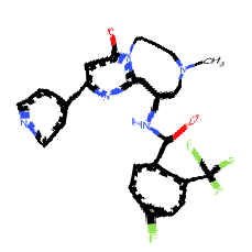 CN1CCn2c(nc(-c3ccncc3)cc2=O)C(NC(=O)c2ccc(F)cc2C(F)(F)F)C1